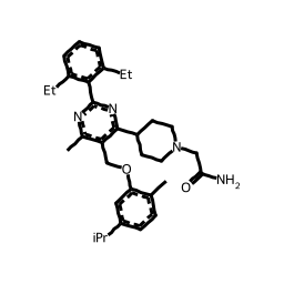 CCc1cccc(CC)c1-c1nc(C)c(COc2cc(C(C)C)ccc2C)c(C2CCN(CC(N)=O)CC2)n1